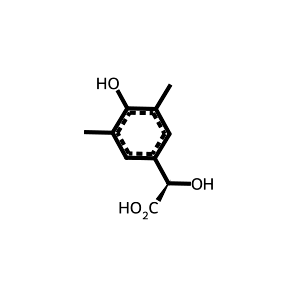 Cc1cc([C@@H](O)C(=O)O)cc(C)c1O